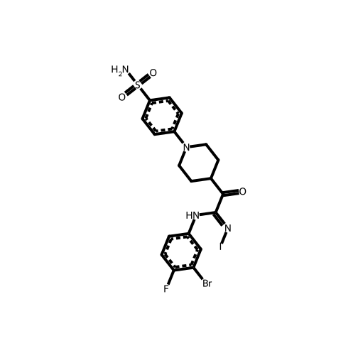 NS(=O)(=O)c1ccc(N2CCC(C(=O)/C(=N/I)Nc3ccc(F)c(Br)c3)CC2)cc1